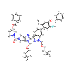 CCc1cc(OCc2ccccc2)c(F)cc1-c1ccc2c(-c3nc4c(n3COCC[Si](C)(C)C)CN(C(=O)N3CC[C@H](OCc5ccccc5)C3)C4)nn(COCC[Si](C)(C)C)c2c1